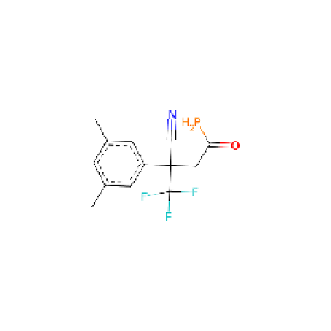 Cc1cc(C)cc(C(C#N)(CC(=O)P)C(F)(F)F)c1